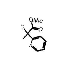 COC(=O)C(C)(F)c1ccccn1